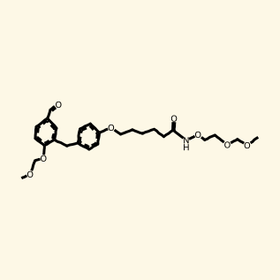 COCOCCONC(=O)CCCCCOc1ccc(Cc2cc(C=O)ccc2OCOC)cc1